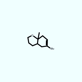 CC(C)(C)C1=CCC2(C)OCCCC2C1